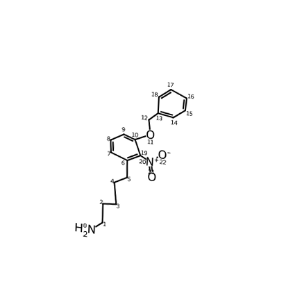 NCCCCCc1cccc(OCc2ccccc2)c1[N+](=O)[O-]